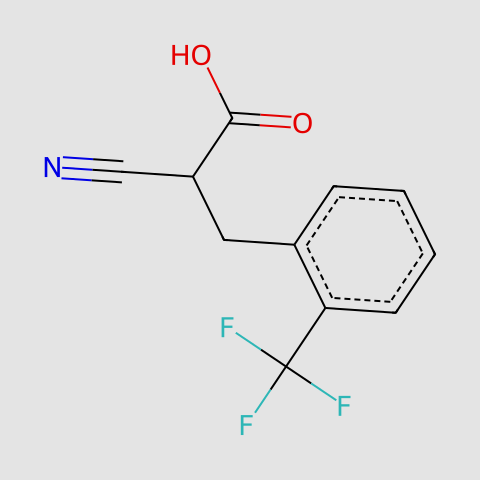 N#CC(Cc1ccccc1C(F)(F)F)C(=O)O